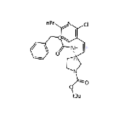 CCCc1ccc(/C=C\[C@]2(NC(=O)OCc3ccccc3)CCN(C(=O)OC(C)(C)C)C2)c(Cl)n1